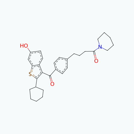 O=C(c1ccc(CCCC(=O)N2CCCCC2)cc1)c1c(C2CCCCC2)sc2cc(O)ccc12